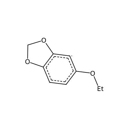 CCOc1[c]c2c(cc1)OCO2